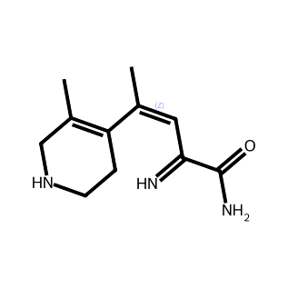 CC1=C(/C(C)=C\C(=N)C(N)=O)CCNC1